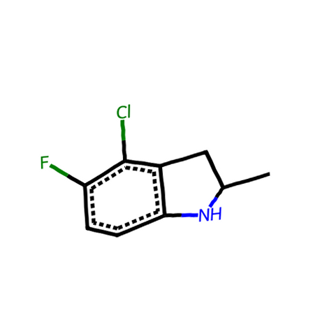 CC1Cc2c(ccc(F)c2Cl)N1